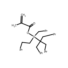 C=C(C)C(=O)O[Si](CCC(C)C)(CC(C)C)C(CC(C)C)(CC(C)C)CC(C)C